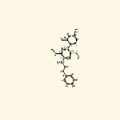 CCc1nc(-c2ccc(Cl)cc2C)c(CC)nc1NCCc1ccccc1